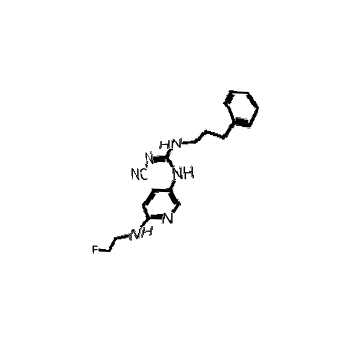 N#CN=C(NCCCc1ccccc1)Nc1ccc(NCCF)nc1